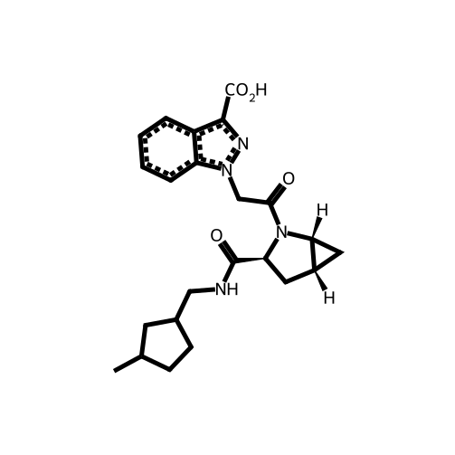 CC1CCC(CNC(=O)[C@@H]2C[C@H]3C[C@H]3N2C(=O)Cn2nc(C(=O)O)c3ccccc32)C1